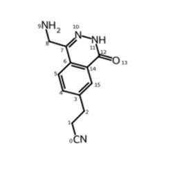 N#CCCc1ccc2c(CN)n[nH]c(=O)c2c1